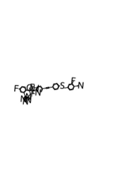 N#Cc1ccc(CSc2ccc(C#Cc3ccc(C(F)(F)C4(O)Cn5nnnc5-c5cc(F)ccc54)nc3)cc2)cc1F